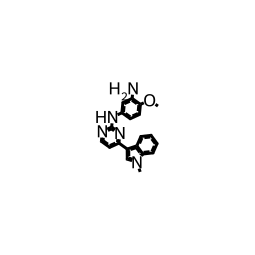 COc1ccc(Nc2nccc(-c3cn(C)c4ccccc34)n2)cc1N